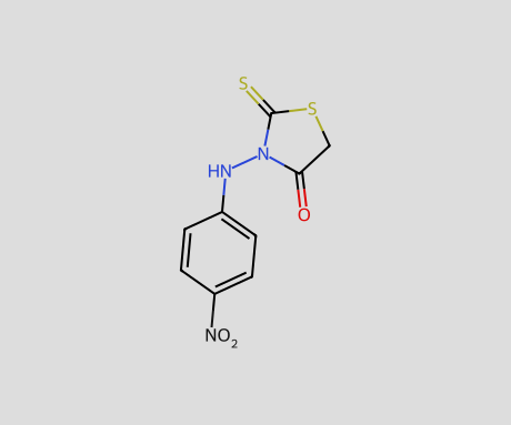 O=C1CSC(=S)N1Nc1ccc([N+](=O)[O-])cc1